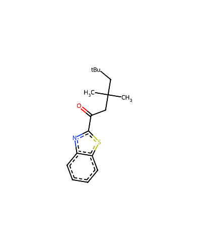 CC(C)(C)CC(C)(C)CC(=O)c1nc2ccccc2s1